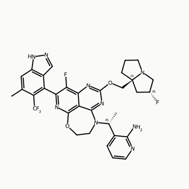 Cc1cc2[nH]ncc2c(-c2nc3c4c(nc(OC[C@@]56CCCN5C[C@H](F)C6)nc4c2F)N([C@H](C)c2cccnc2N)CCO3)c1C(F)(F)F